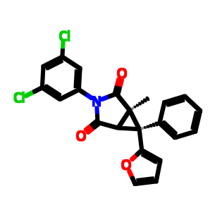 C[C@@]12C(=O)N(c3cc(Cl)cc(Cl)c3)C(=O)C1[C@]2(c1ccccc1)c1ccco1